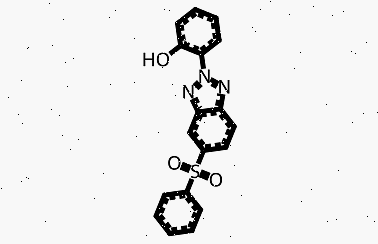 O=S(=O)(c1ccccc1)c1ccc2nn(-c3ccccc3O)nc2c1